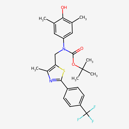 Cc1cc(N(Cc2sc(-c3ccc(C(F)(F)F)cc3)nc2C)C(=O)OC(C)(C)C)cc(C)c1O